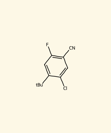 CC(C)(C)c1cc(F)c(C#N)cc1Cl